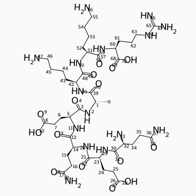 C[C@H](NC(=O)[C@H](CCC(=O)O)NC(=O)[C@H](CCC(N)=O)NC(=O)[C@H](CCC(=O)O)NC(=O)[C@@H](N)CCC(N)=O)C(=O)N[C@@H](CCCCN)C(=O)N[C@@H](CCCCN)C(=O)N[C@@H](CCCNC(=N)N)C(=O)O